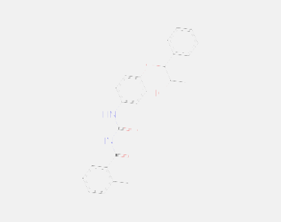 Cc1ccccc1C(=O)NC(=O)Nc1ccc(OC(c2ccccc2)C(C)O)cc1